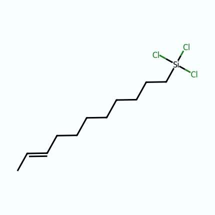 CC=CCCCCCCCC[Si](Cl)(Cl)Cl